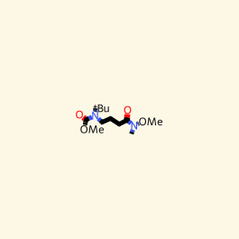 COC(=O)N(CCCC(=O)N(C)OC)C(C)(C)C